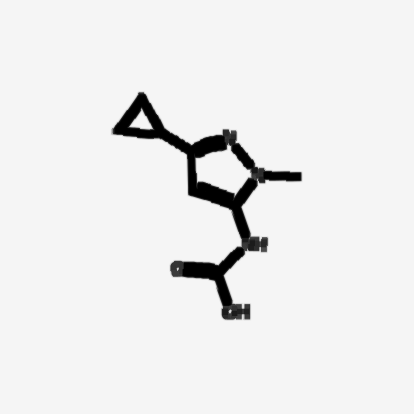 Cn1nc(C2CC2)cc1NC(=O)O